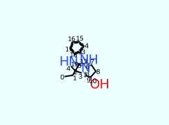 CCC(C)(C)C1(N2CCC(O)C2)Nc2ccccc2N1